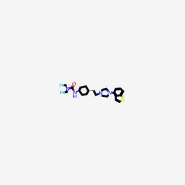 O=C(N[C@H]1CC[C@H](CCN2CCN(c3cccc4sccc34)CC2)CC1)N(CF)CF